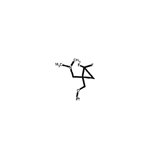 CC(C)OCC1(CN(C)C)CC1(F)F